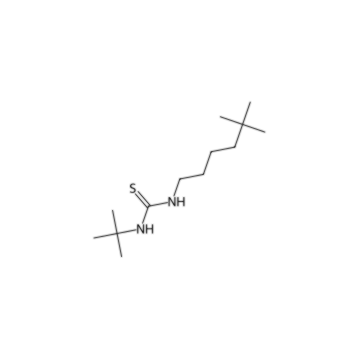 CC(C)(C)CCCCNC(=S)NC(C)(C)C